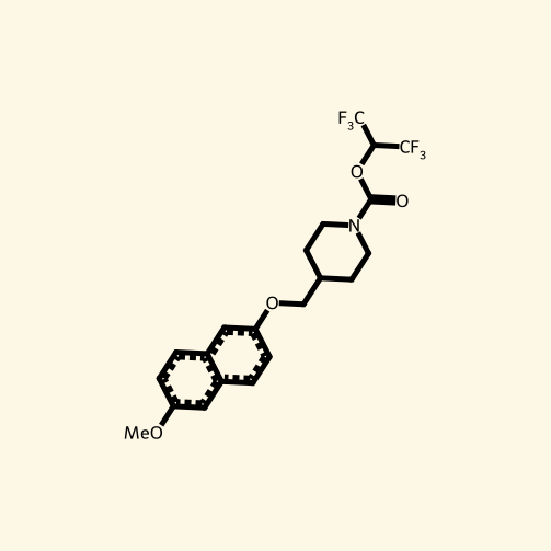 COc1ccc2cc(OCC3CCN(C(=O)OC(C(F)(F)F)C(F)(F)F)CC3)ccc2c1